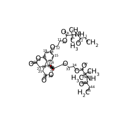 C=CC(=O)NC(C)(C)C(=O)OCCOc1ccc2c(c1)OC(=O)CC21CC(=O)Oc2cc(OCCOC(=O)C(C)(C)NC(=O)C=C)ccc21